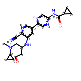 CN(CC(CC=O)Nc1cc(-c2cnc(NC(=O)C3CC3)cn2)cnc1C#N)C1CC1